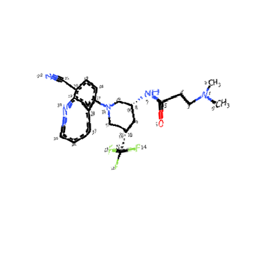 CN(C)CCC(=O)N[C@@H]1C[C@H](C(F)(F)F)CN(c2ccc(C#N)c3ncccc23)C1